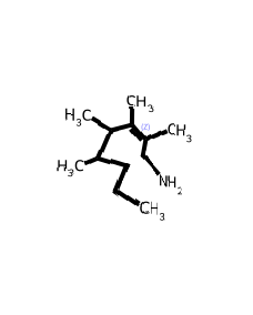 CCCC(C)C(C)/C(C)=C(/C)CN